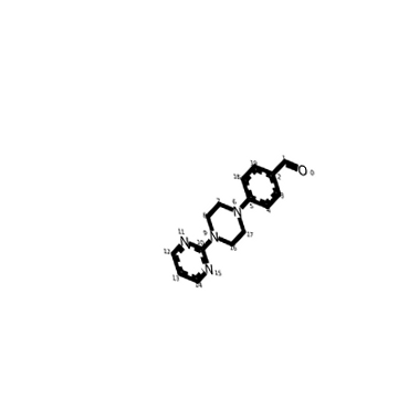 O=Cc1ccc(N2CCN(c3ncccn3)CC2)cc1